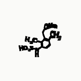 COCc1c(C)ccc(NS(=O)(=O)O)c1C